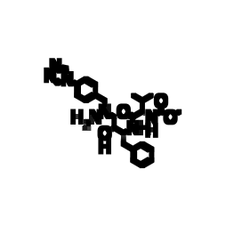 COC(=O)N[C@H](C(=O)N[C@@H](Cc1ccccc1)[C@@H](O)CN(N)Cc1ccc(-n2cnnc2)cc1)C(C)C